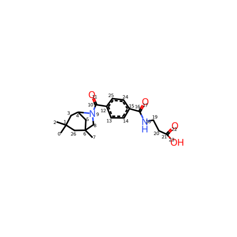 CC1(C)CC2CC(C)(CN2C(=O)c2ccc(C(=O)NCCC(=O)O)cc2)C1